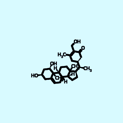 CC1=C(CO)C(=O)C[C@H]([C@@H](C)[C@H]2CC[C@H]3[C@@H]4CC=C5C[C@@H](O)C[C@H](O)[C@]5(C)[C@H]4CC[C@]23C)C1